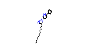 CCCCCCCCCCCCC1=CN=CN(c2ccc(-c3ccccc3)nc2)C1